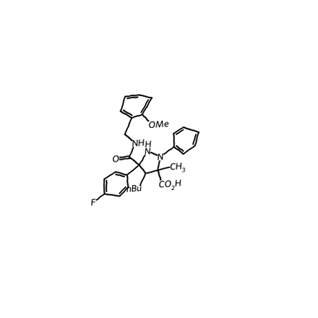 CCCCC1C(C(=O)NCc2ccccc2OC)(c2ccc(F)cc2)NN(c2ccccc2)C1(C)C(=O)O